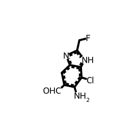 Nc1c(C=O)cc2nc(CF)[nH]c2c1Cl